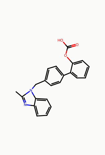 Cc1nc2ccccc2n1Cc1ccc(-c2ccccc2OC(=O)O)cc1